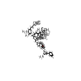 C=C(Br)C[C@@H](CC[C@@]12CC3O[C@H]4[C@@H](O1)[C@H]1OC(CC(=O)CC5C(C[C@H]6OC(CCCO[Si](CC)(CC)CC)C[C@@H](C)C6=C)OC(CC(CO[Si](C)(C)C(C)(C)C)O[Si](C)(C)C(C)(C)C)[C@@H]5OC)CCC1O[C@H]4[C@H]3O2)OC(=O)c1ccccc1